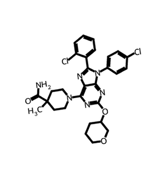 CC1(C(N)=O)CCN(c2nc(OC3CCCOC3)nc3c2nc(-c2ccccc2Cl)n3-c2ccc(Cl)cc2)CC1